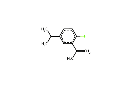 C=C(C)c1cc(C(C)C)ccc1F